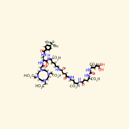 CC(C)(C)[Si](F)(c1ccc(C(=O)NC[C@H](NC(=O)CN2CCN(CC(=O)O)CCN(CC(=O)O)CCN(CC(=O)O)CC2)C(=O)N[C@H](CCCCNC(=O)CCC(=O)NCCC[C@@H](NC(=O)CC[C@H](NC(=O)N[C@@H](CCC(O)O)C(=O)O)C(=O)O)C(=O)O)C(=O)O)cc1)C(C)(C)C